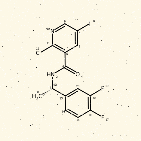 C[C@H](NC(=O)c1cc(I)cnc1Cl)c1ccc(F)c(F)c1